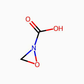 O=C(O)N1CO1